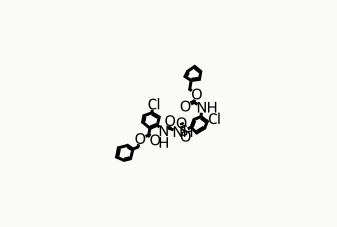 O=C(Nc1cc(Cl)ccc1C(=O)OCc1ccccc1)NS(=O)(=O)c1ccc(Cl)c(NC(=O)OCc2ccccc2)c1